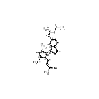 COCC(C)Oc1ccc2ccn(-c3c(C=CC(=O)O)c(C)nn3C)c2c1